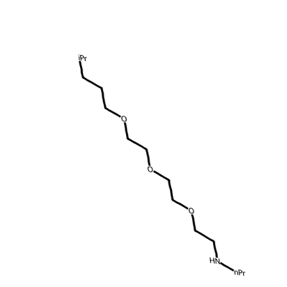 CCCNCCOCCOCCOCCCC(C)C